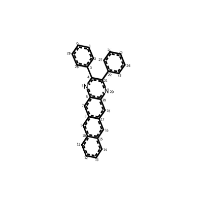 c1ccc(-c2nc3cc4cc5ccccc5cc4cc3nc2-c2ccccc2)cc1